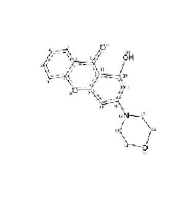 O=c1c2ccccc2oc2cc(N3CCOCC3)cc(O)c12